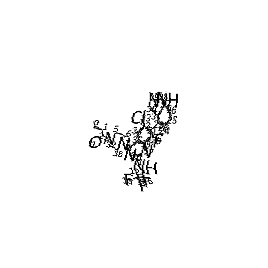 C=CC(=O)N1CCN(c2nc(NCC(F)(F)F)nc3c(F)c(-c4c(C)ccc5[nH]ncc45)c(Cl)cc23)CC1